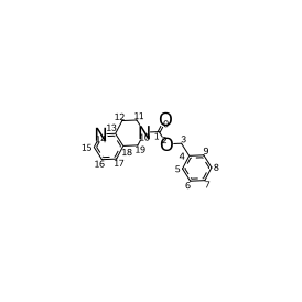 O=C(OCc1ccccc1)N1CCc2ncccc2C1